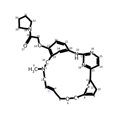 CN1C/C=C/COCC2=CCC(S2)c2ccnc(n2)Nc2ccc(OCC(=O)N3CCCC3)c(c2)C1